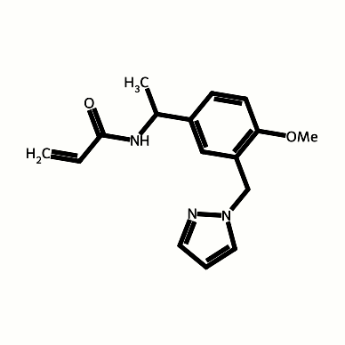 C=CC(=O)NC(C)c1ccc(OC)c(Cn2cccn2)c1